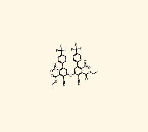 CCOC(=O)c1c(C#N)c(Oc2cc(-c3ccc(C(F)(F)F)cc3)c([N+](=O)[O-])c(C(=O)OCC)c2C#N)cc(-c2ccc(C(F)(F)F)cc2)c1[N+](=O)[O-]